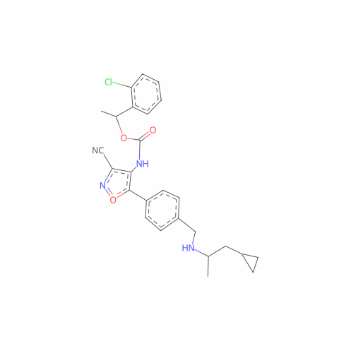 CC(CC1CC1)NCc1ccc(-c2onc(C#N)c2NC(=O)OC(C)c2ccccc2Cl)cc1